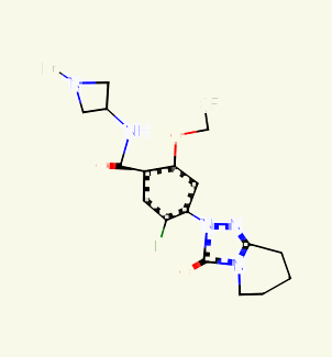 CCN1CC(NC(=O)c2cc(F)c(-n3nc4n(c3=O)CCCC4)cc2OCC(F)(F)F)C1